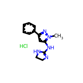 Cl.Cn1nc(-c2ccccc2)cc1NC1=NCCN1